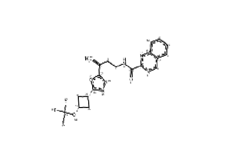 C=C(CCNC(=O)c1ncc2ccccc2n1)c1nnc([C@H]2C[C@@H](OC(F)(F)F)C2)o1